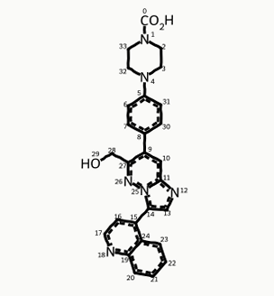 O=C(O)N1CCN(c2ccc(-c3cc4ncc(-c5ccnc6ccccc56)n4nc3CO)cc2)CC1